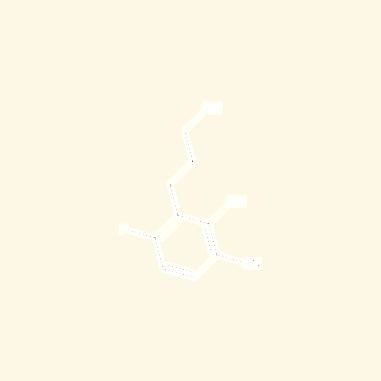 N#Cc1ccc(F)c(CCCO)c1O